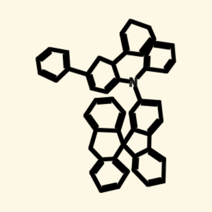 C1=CC(C2CC(c3ccccc3)=CC=C2N(c2ccccc2)c2ccc3c(c2)C2(c4ccccc4Cc4ccccc42)c2ccccc2-3)=CCC1